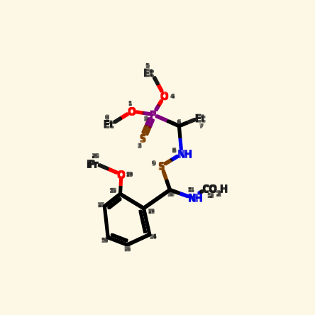 CCOP(=S)(OCC)C(CC)NSC(NC(=O)O)c1ccccc1OC(C)C